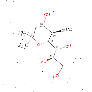 CC(=O)N[C@H]1[C@H]([C@H](O)[C@H](O)CO)O[C@](C)(C(=O)O)C[C@@H]1O